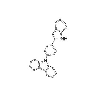 c1ccc2[nH]c(-c3ccc(-n4c5ccccc5c5ccccc54)cc3)cc2c1